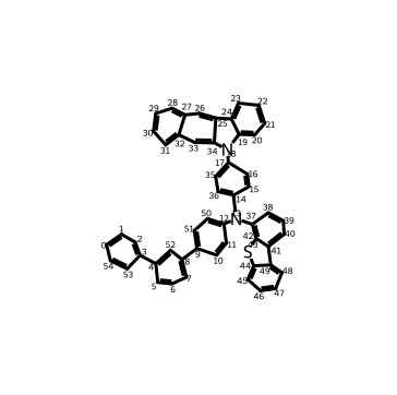 c1ccc(-c2cccc(-c3ccc(N(c4ccc(-n5c6ccccc6c6cc7ccccc7cc65)cc4)c4cccc5c4sc4ccccc45)cc3)c2)cc1